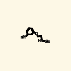 CCCC1C=CC=C(OCCNC(C)(C)C)C1